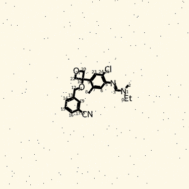 CCN(C)C=Nc1cc(C)c(C2(OCc3cccc(C#N)c3)COC2)cc1Cl